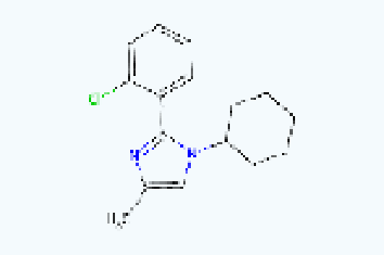 Cc1cn(C2CCCCC2)c(-c2ccccc2Cl)n1